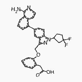 Nc1nccc2c(-c3ccc4c(c3)c(COc3ccccc3CC(=O)O)nn4C3CCC(F)(F)C3)cccc12